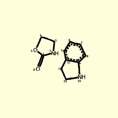 O=C1NCCO1.c1ccc2c(c1)CCN2